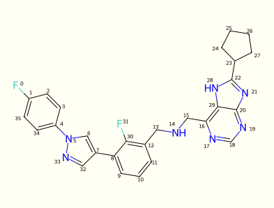 Fc1ccc(-n2cc(-c3cccc(CNCc4ncnc5nc(C6CCCC6)[nH]c45)c3F)cn2)cc1